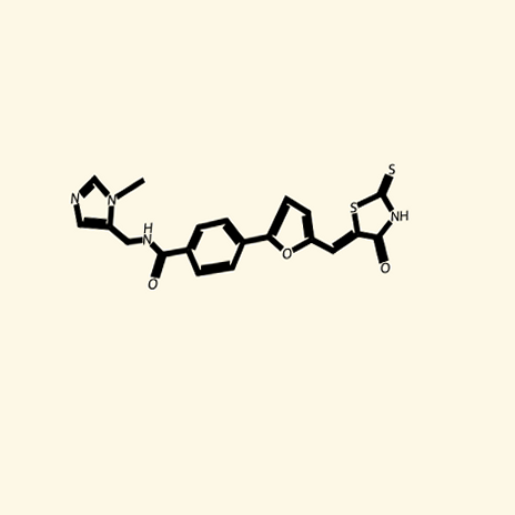 Cn1cncc1CNC(=O)c1ccc(-c2ccc(/C=C3\SC(=S)NC3=O)o2)cc1